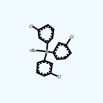 CCCC[B-](c1cccc(Cl)c1)(c1cccc(Cl)c1)c1cccc(Cl)c1